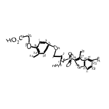 CCCN(CCOc1ccc(OCC(=O)O)c(C)c1)S(=O)(=O)c1sc2ccc(F)cc2c1C